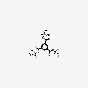 COP(=O)(O)OC(=O)c1cc(C(=O)OP(=O)(O)OC)cc(C(=O)OP(=O)(O)OC)c1